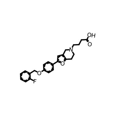 O=C(O)CCCN1CCc2oc(-c3ccc(OCc4ccccc4F)cc3)cc2C1